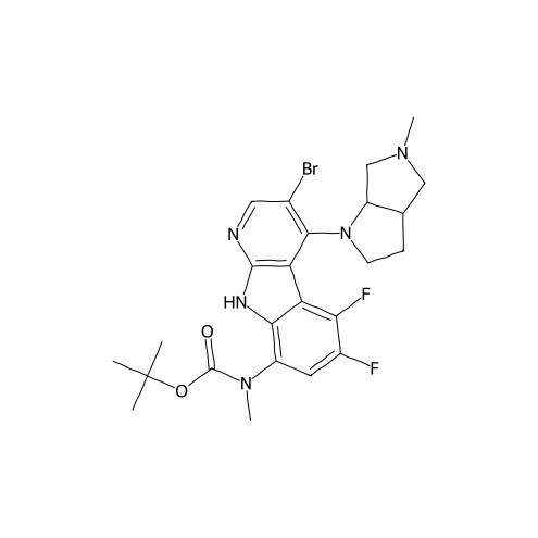 CN1CC2CCN(c3c(Br)cnc4[nH]c5c(N(C)C(=O)OC(C)(C)C)cc(F)c(F)c5c34)C2C1